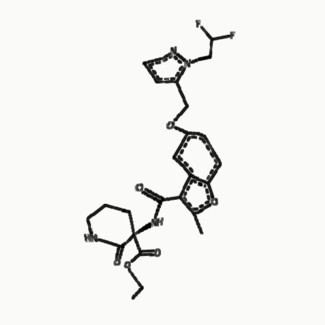 CCOC(=O)[C@@]1(NC(=O)c2c(C)oc3ccc(OCc4ccnn4CC(F)F)cc23)CCCNC1=O